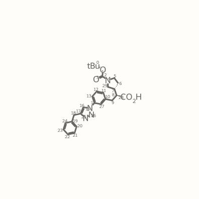 CC(C)(C)OC(=O)N1CC[C@H]([C@H](Cc2cccc(-n3cc(Cc4ccccc4)nn3)c2)C(=O)O)C1